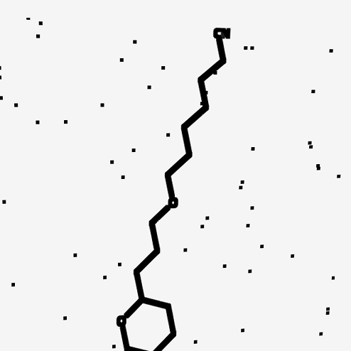 N#CCCCCCCOCCCC1CCCCO1